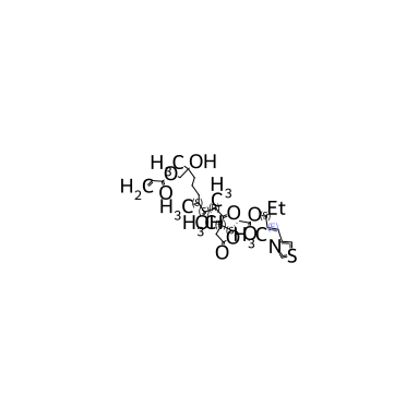 C=CC(=O)OCC(C)(O)CCC[C@H](C)[C@H](O)[C@@H](C)C(=O)[C@]1(C)CC(=O)O[C@H]1CC(=O)O[C@@H](CC)/C(C)=C/c1cscn1